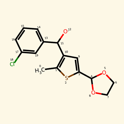 Cc1sc(C2OCCO2)cc1C([O])c1cccc(Cl)c1